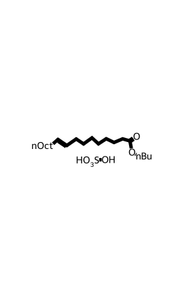 CCCCCCCCC=CCCCCCCCC(=O)OCCCC.O=S(=O)(O)O